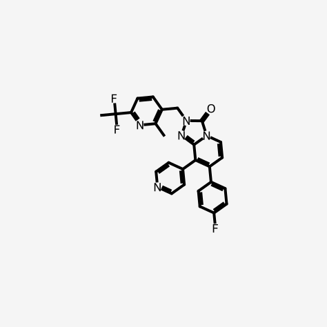 Cc1nc(C(C)(F)F)ccc1Cn1nc2c(-c3ccncc3)c(-c3ccc(F)cc3)ccn2c1=O